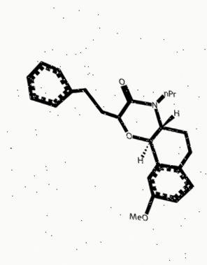 CCCN1C(=O)C(CCc2ccccc2)O[C@@H]2c3cc(OC)ccc3CC[C@H]21